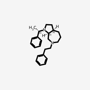 C[C@@H](c1ccccc1)N1CC[C@H]2CCCN(CCc3ccccc3)C[C@H]21